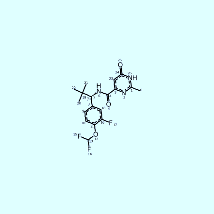 Cc1nc(C(=O)N[C@@H](c2ccc(OC(F)F)c(F)c2)C(C)(C)C)cc(=O)[nH]1